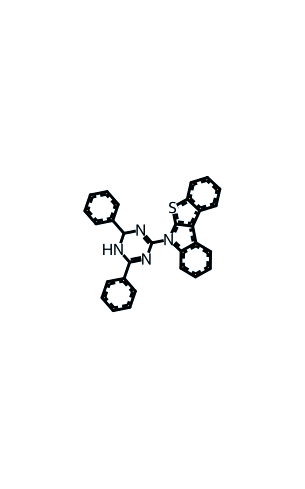 c1ccc(C2=NC(n3c4ccccc4c4c5ccccc5sc43)=NC(c3ccccc3)N2)cc1